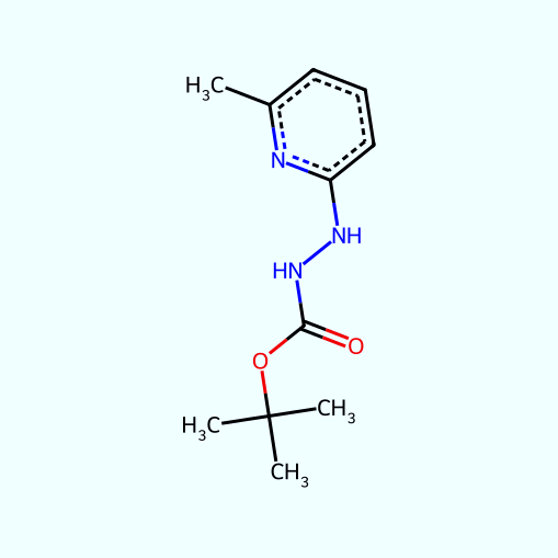 Cc1cccc(NNC(=O)OC(C)(C)C)n1